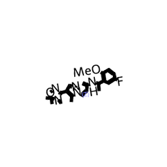 C=C(/C=C\n1ncc(C2=NOC(C)(C)N2C)c1C)NC(C)c1cc(F)ccc1OC